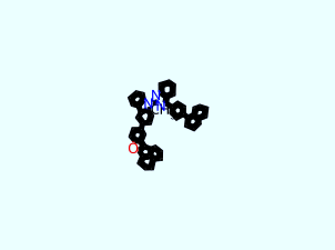 CC12C=CC(c3ccc4oc5c(c4c3)-c3cccc4cccc-5c34)=CC1c1ccccc1N2c1nc(-c2ccc(-c3cccc4ccccc34)cc2)c2ccccc2n1